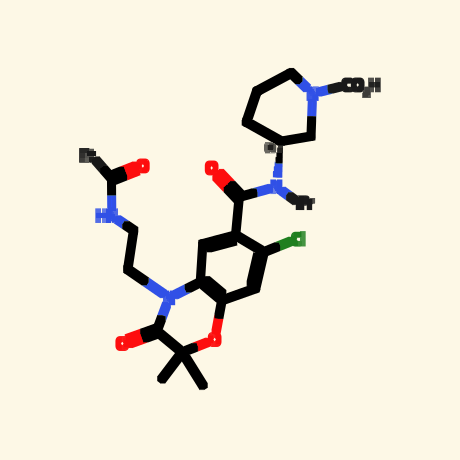 CCC(=O)NCCN1C(=O)C(C)(C)Oc2cc(Cl)c(C(=O)N(C(C)C)[C@@H]3CCCN(C(=O)O)C3)cc21